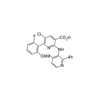 COc1cccc(F)c1-c1nc(Nc2c(C)ccnc2C(C)C)c(C(=O)O)cc1Cl